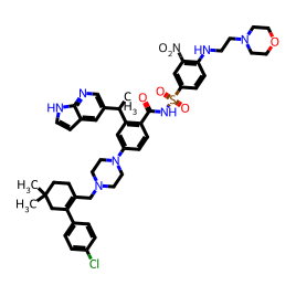 CC(c1cnc2[nH]ccc2c1)c1cc(N2CCN(CC3=C(c4ccc(Cl)cc4)CC(C)(C)CC3)CC2)ccc1C(=O)NS(=O)(=O)c1ccc(NCCN2CCOCC2)c([N+](=O)[O-])c1